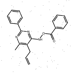 C=CCc1c(C)nc(-c2ccccc2)nc1NOC(=O)c1ccccc1